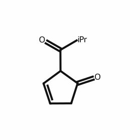 CC(C)C(=O)C1C=CCC1=O